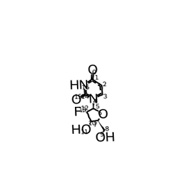 O=c1ccn([C@H]2O[C@@H](CO)[C@H](O)[C@@H]2F)c(=O)[nH]1